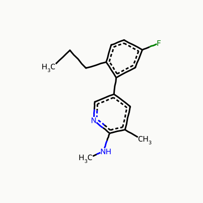 CCCc1ccc(F)cc1-c1cnc(NC)c(C)c1